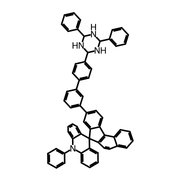 c1ccc(C2NC(c3ccccc3)NC(c3ccc(-c4cccc(-c5ccc6c(c5)C5(c7ccccc7N(c7ccccc7)c7ccccc75)c5ccc7ccccc7c5-6)c4)cc3)N2)cc1